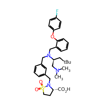 CN(C)C[C@H](CC(C)(C)C)N(Cc1cccc(CN2[C@H](C(=O)O)CCS2(=O)=O)c1)Cc1ccccc1Oc1ccc(F)cc1